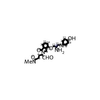 CNC(=O)CCC(C=O)N1Cc2c(OC/C(N)=C/Nc3ccc(O)cc3)cccc2C1=O